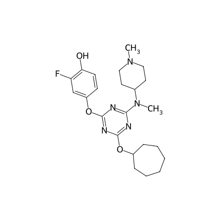 CN1CCC(N(C)c2nc(Oc3ccc(O)c(F)c3)nc(OC3CCCCCC3)n2)CC1